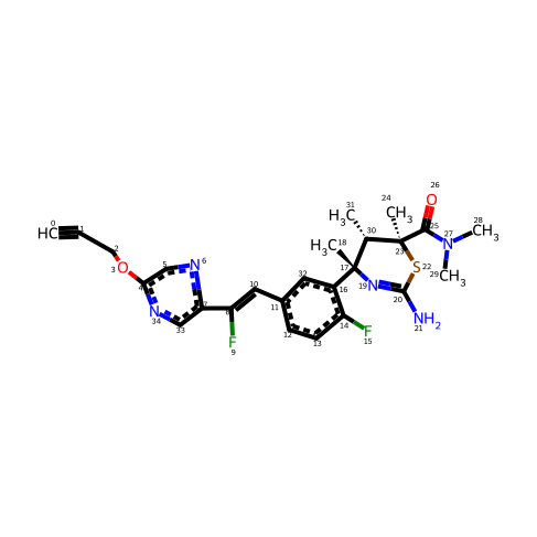 C#CCOc1cnc(/C(F)=C/c2ccc(F)c([C@@]3(C)N=C(N)S[C@](C)(C(=O)N(C)C)[C@H]3C)c2)cn1